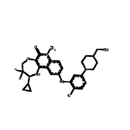 Cn1c(=O)c2c(c3cc(Nc4cc(N5CCC(CO)CC5)ncc4Cl)ccc31)NC(C1CC1)C(F)(F)CO2